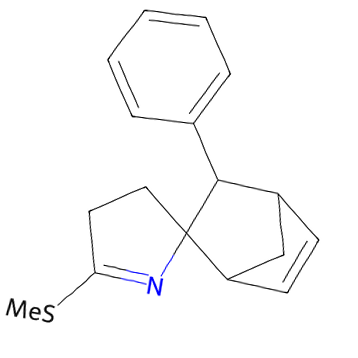 CSC1=NC2(CC1)C1C=CC(C1)C2c1ccccc1